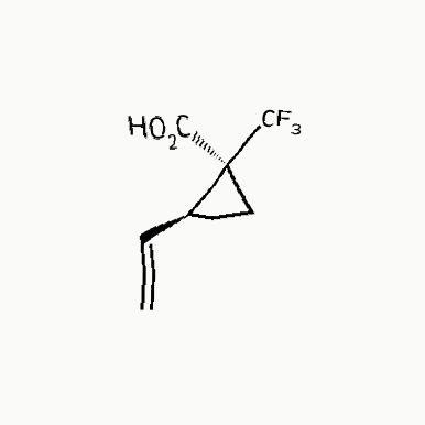 C=C[C@@H]1C[C@]1(C(=O)O)C(F)(F)F